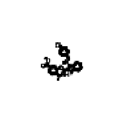 COC(=O)c1ccc([C@H](C)NC(=O)c2sc3ccccc3c2N(C)Cc2ccc(Cl)cc2)cc1